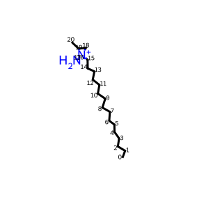 CCCCCCCCCCCCCCCC[N+]1(N)CC1C